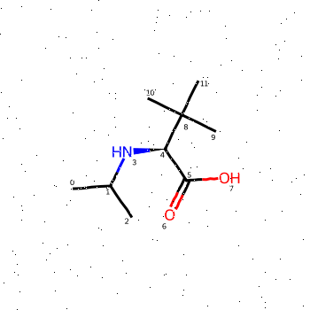 CC(C)N[C@H](C(=O)O)C(C)(C)C